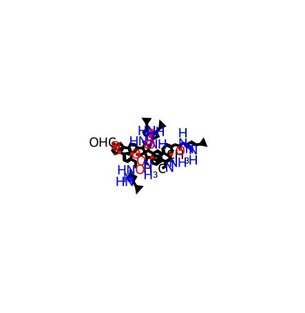 Cc1n[nH]c(C)c1-c1ccc(C(C(=O)Nc2cc(C3CC3)[nH]n2)C(C(=O)OC(C(=O)Nc2cc(C3CC3)[nH]n2)c2ccc(-c3ccoc3)cc2)(c2c[nH]c3ccc(-c4ccc(CC(=O)Nc5cc(C6CC6)[nH]n5)cc4)cc23)C(C(=O)Nc2cc(C3CC3)[nH]n2)c2ccc(-c3csc(C=O)c3)cc2)cc1